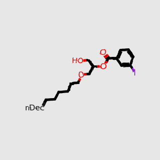 CCCCCCCCCCCCCCCCOCC(CO)OC(=O)c1cccc(I)c1